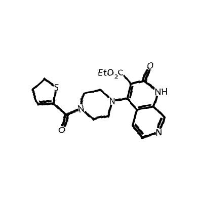 CCOC(=O)c1c(N2CCN(C(=O)C3=CCCS3)CC2)c2ccncc2[nH]c1=O